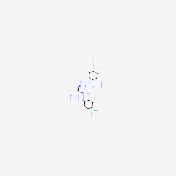 Fc1cc(Nc2ncc(F)c(Nc3ccc(C(F)(F)F)c(F)c3)n2)ccc1C(F)(F)F